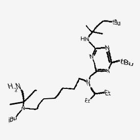 CCC(CC)N(CCCCCCN(C(C)CC)C(C)(C)N)c1nc(NC(C)(C)CC(C)(C)C)nc(C(C)(C)C)n1